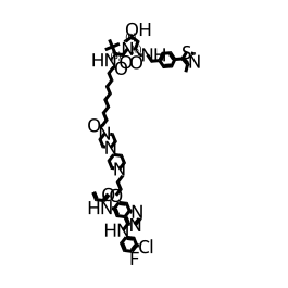 C=CC(=O)Nc1cc2c(Nc3ccc(F)c(Cl)c3)ncnc2cc1OCCCN1CCC(N2CCN(C(=O)CCCCCCCCC(=O)N[C@H](C(=O)N3C[C@H](O)C[C@H]3C(=O)NCc3ccc(-c4scnc4C)cc3)C(C)(C)C)CC2)CC1